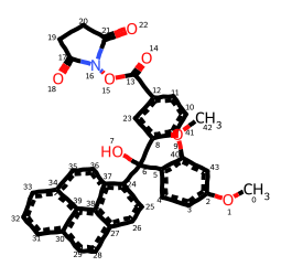 COc1ccc(C(O)(c2cccc(C(=O)ON3C(=O)CCC3=O)c2)c2ccc3ccc4cccc5ccc2c3c45)c(OC)c1